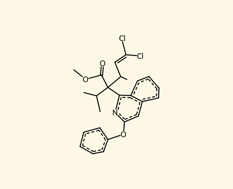 COC(=O)C(c1nc(Oc2ccccc2)cc2ccccc12)(C(C)C)C(C)C=C(Cl)Cl